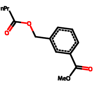 CCCC(=O)OCc1cccc(C(=O)OC)c1